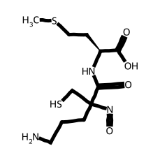 CSCC[C@H](NC(=O)C(CS)(CCCN)N=O)C(=O)O